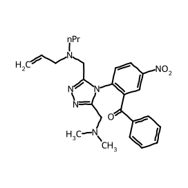 C=CCN(CCC)Cc1nnc(CN(C)C)n1-c1ccc([N+](=O)[O-])cc1C(=O)c1ccccc1